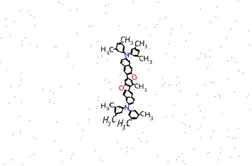 Cc1cc(C)cc(N(c2cc(C)cc(C)c2)c2ccc3cc4c(cc3c2)oc2c(C)c3c(cc24)oc2cc4cc(N(c5cc(C)cc(C)c5)c5cc(C)cc(C)c5)ccc4cc23)c1